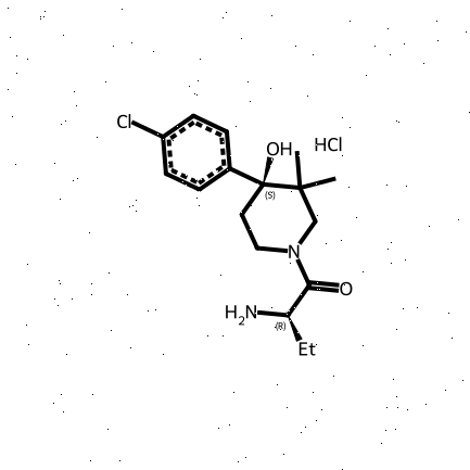 CC[C@@H](N)C(=O)N1CC[C@](O)(c2ccc(Cl)cc2)C(C)(C)C1.Cl